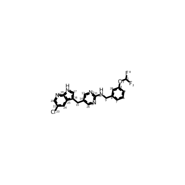 FC(F)Oc1cccc(CNc2ncc(Cc3c[nH]c4ncc(Cl)cc34)cn2)c1